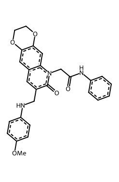 COc1ccc(NCc2cc3cc4c(cc3n(CC(=O)Nc3ccccc3)c2=O)OCCO4)cc1